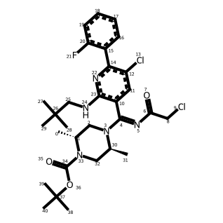 C[C@@H]1CN(C(=NC(=O)CCl)c2cc(Cl)c(-c3ccccc3F)nc2NCC(C)(C)C)[C@@H](C)CN1C(=O)OC(C)(C)C